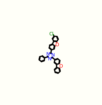 Clc1ccc2oc3cc(-c4nc(-c5ccccc5)nc(-c5ccc6oc7ccccc7c6c5)n4)ccc3c2c1